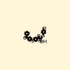 O=C(/C(CCSc1ccc(Cl)cc1)=N/O)c1ccc(Sc2ccc(C(=O)c3ccccc3)cc2)cc1